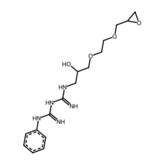 N=C(NCC(O)COCCOCC1CO1)NC(=N)Nc1ccccc1